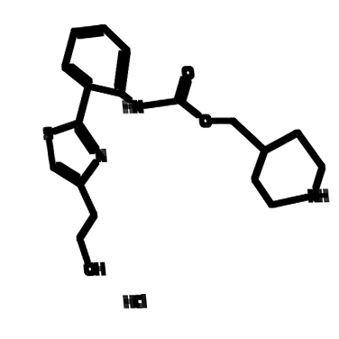 Cl.O=C(Nc1ccccc1-c1nc(CCO)cs1)OCC1CCNCC1